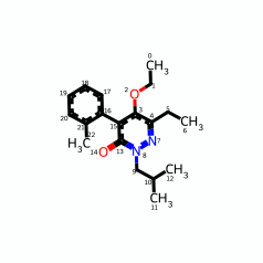 CCOc1c(CC)nn(CC(C)C)c(=O)c1-c1ccccc1C